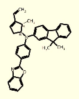 C=CC1=CC[C@H](N(c2ccc(-c3nc4ccccc4o3)cc2)c2ccc3c(c2)C(C)(C)c2ccccc2-3)[C@H]1C